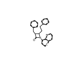 O=C1C(Cc2ccccc2)C(CCc2ccccc2)N1c1cccc2cccnc12